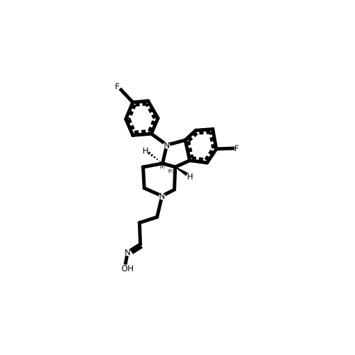 ON=CCCN1CC[C@@H]2[C@@H](C1)c1cc(F)ccc1N2c1ccc(F)cc1